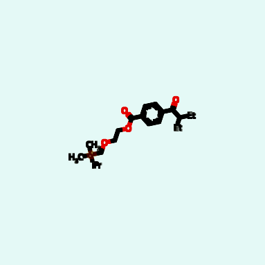 CCC(CC)C(=O)c1ccc(C(=O)OCCOCS(C)(C)C(C)C)cc1